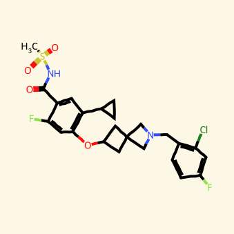 CS(=O)(=O)NC(=O)c1cc(C2CC2)c(OC2CC3(C2)CN(Cc2ccc(F)cc2Cl)C3)cc1F